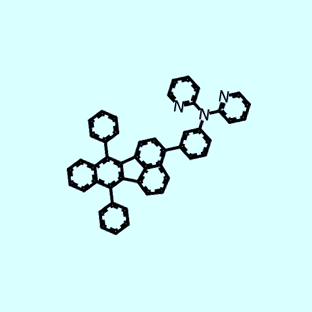 c1ccc(-c2c3c(c(-c4ccccc4)c4ccccc24)-c2ccc(-c4cccc(N(c5ccccn5)c5ccccn5)c4)c4cccc-3c24)cc1